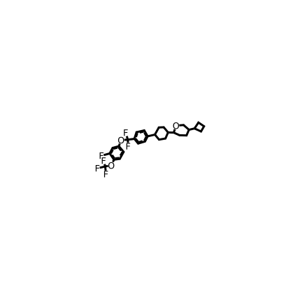 Fc1cc(OC(F)(F)c2ccc(C3CCC(C4CCC(C5CCC5)CO4)CC3)cc2)ccc1OC(F)(F)F